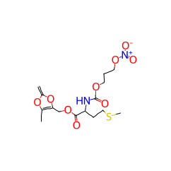 C=C1OC(C)=C(COC(=O)C(CCSC)NC(=O)OCCCO[N+](=O)[O-])O1